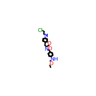 CCOCNc1ccc(C2=NC(Cc3ccc(N(C)CCCl)cc3)C(=O)O2)cc1